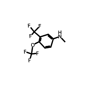 CNc1ccc(OC(F)(F)F)c(C(F)(F)F)c1